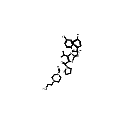 CC(C)C1=C(C(=O)N2CCC[C@@H]2C(=O)N2CCN(CCO)CC2)SC2=N[C@@](C)(c3ccc(Cl)cc3)[C@@H](c3ccc(Cl)cc3)N21